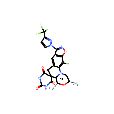 C[C@H]1CN2c3c(cc4c(-n5ccc(C(F)(F)F)n5)noc4c3F)CC3(C(=O)NC(=O)NC3=O)[C@@H]2[C@@H](C)O1